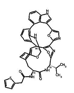 CC(C)[C@@H]1NC(=O)[C@@H](NC(=O)Cc2cccs2)Cc2ccc3c(c2)[C@]24c5cccc(c5NC2O3)-c2cccc3[nH]cc(c23)-c2cnc(o2)-c2nc1oc24